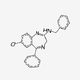 Clc1ccc2c(c1)C(c1ccccc1)=NCC(NCc1ccccc1)=N2